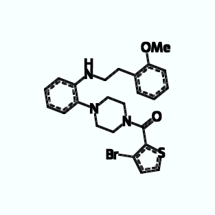 COc1ccccc1CCNc1ccccc1N1CCN(C(=O)c2sccc2Br)CC1